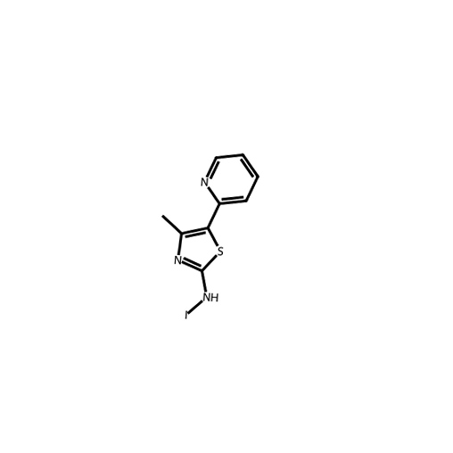 Cc1nc(NI)sc1-c1ccccn1